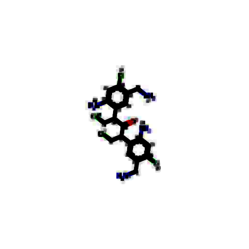 NCc1cc(C(CCl)C(=O)C(CCl)c2cc(CN)c(Cl)cc2N)c(N)cc1Cl